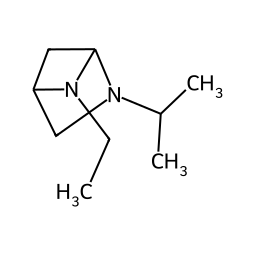 CCN1C2CC1N(C(C)C)C2